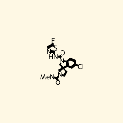 CNC(=O)N1CC[C@@]2(C1)CN(C(=O)Nc1ncc(F)s1)c1ccc(Cl)cc12